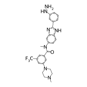 CN1CCN(c2cc(C(=O)N(C)c3ccc4[nH]c(-c5cccc(NN)c5)nc4c3)cc(C(F)(F)F)c2)CC1